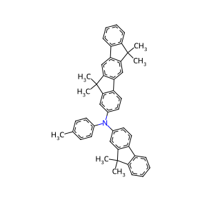 Cc1ccc(N(c2ccc3c(c2)C(C)(C)c2ccccc2-3)c2ccc3c(c2)C(C)(C)c2cc4c(cc2-3)C(C)(C)c2ccccc2-4)cc1